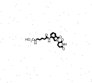 O=C(O)NCCCCC(=O)Nc1cccc2c1CN(C1CCC(=O)NC1=O)C2=O